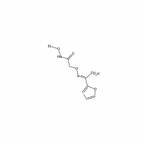 CCONC(=O)CON=C(C(=O)O)c1ccco1